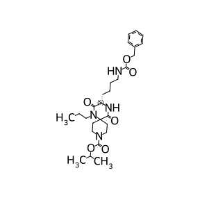 CCCN1C(=O)[C@H](CCCCNC(=O)OCc2ccccc2)NC(=O)C12CCN(C(=O)OC(C)C)CC2